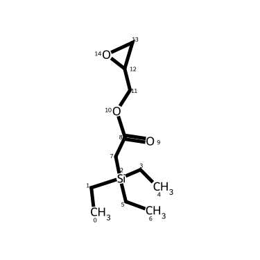 CC[Si](CC)(CC)CC(=O)OCC1CO1